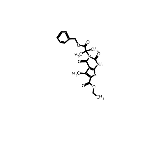 CCOC(=O)c1sc2[nH]c(=O)n(C(C)(C)C(=O)OCc3ccccc3)c(=O)c2c1C